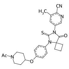 CC(=O)N1CCC(Oc2ccc(N3C(=S)N(c4cnc(C#N)c(C)c4)C(=O)C34CCC4)cc2)CC1